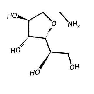 CN.OC[C@@H](O)[C@H]1OC[C@H](O)[C@H]1O